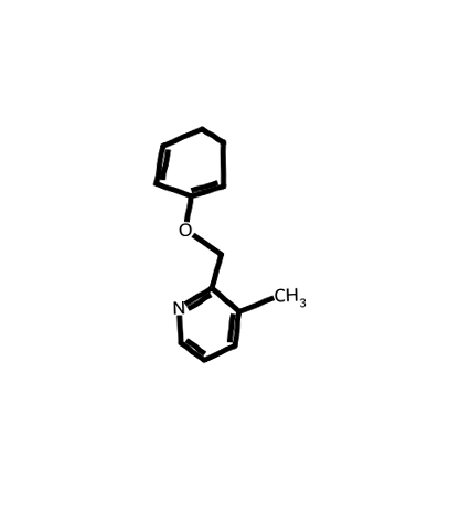 Cc1cccnc1COC1=CCCC=C1